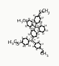 CSc1ccc([S+](c2ccc(SC)cc2)c2ccc3c(c2)-c2ccccc2C3(c2ccc(C)cc2)c2ccc(SC)cc2)cc1